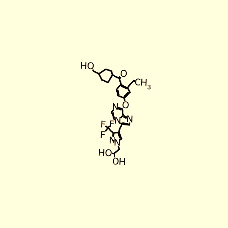 CCc1cc(Oc2nccn3c(-c4cn(CC(O)O)nc4C(F)(F)F)cnc23)ccc1C(=O)C1CCC(CO)CC1